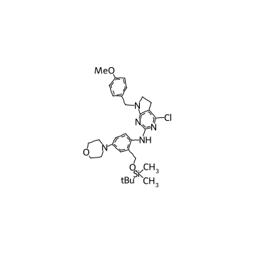 COc1ccc(CN2CCc3c(Cl)nc(Nc4ccc(N5CCOCC5)cc4CO[Si](C)(C)C(C)(C)C)nc32)cc1